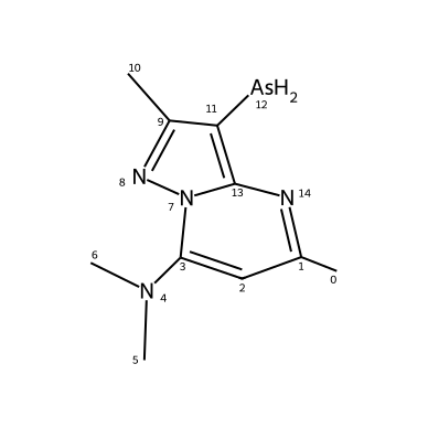 Cc1cc(N(C)C)n2nc(C)c([AsH2])c2n1